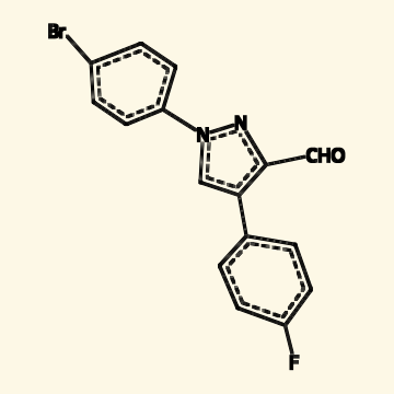 O=Cc1nn(-c2ccc(Br)cc2)cc1-c1ccc(F)cc1